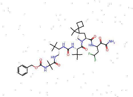 CC(C)(NC(=O)OCc1ccccc1)C(=O)NC[C@@H](NC(=O)N[C@H](C(=O)N1C[C@]2(C[C@H]1C(=O)NC(CC(F)F)C(=O)C(N)=O)C(C)(C)C21CCC1)C(C)(C)C)C(C)(C)C